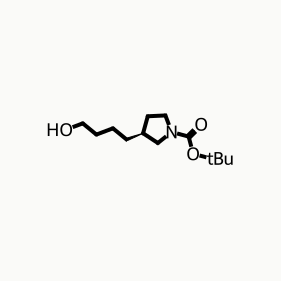 CC(C)(C)OC(=O)N1CC[C@H](CCCCO)C1